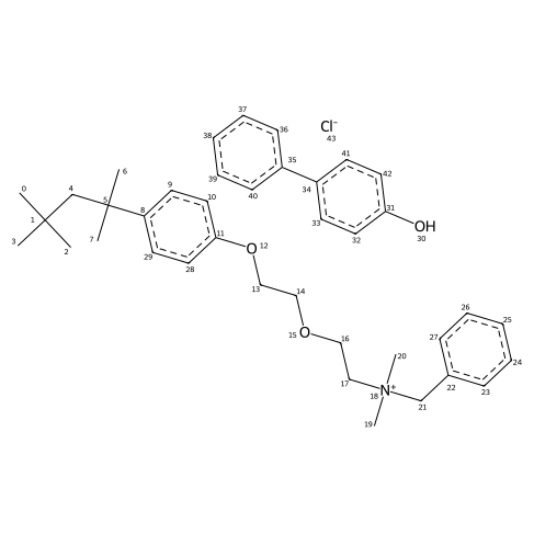 CC(C)(C)CC(C)(C)c1ccc(OCCOCC[N+](C)(C)Cc2ccccc2)cc1.Oc1ccc(-c2ccccc2)cc1.[Cl-]